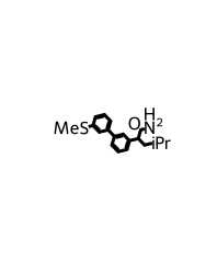 CSc1cccc(-c2cccc(C(CC(C)C)C(N)=O)c2)c1